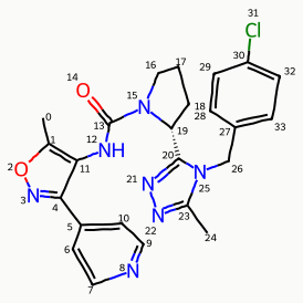 Cc1onc(-c2ccncc2)c1NC(=O)N1CCC[C@@H]1c1nnc(C)n1Cc1ccc(Cl)cc1